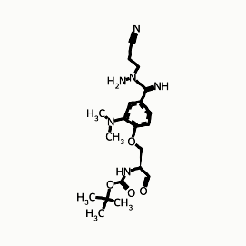 CN(C)c1cc(C(=N)N(N)CCC#N)ccc1OC[C@@H](C=O)NC(=O)OC(C)(C)C